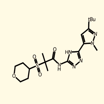 Cn1nc(C(C)(C)C)cc1-c1nnc(NC(=O)C(C)(C)S(=O)(=O)C2CCOCC2)[nH]1